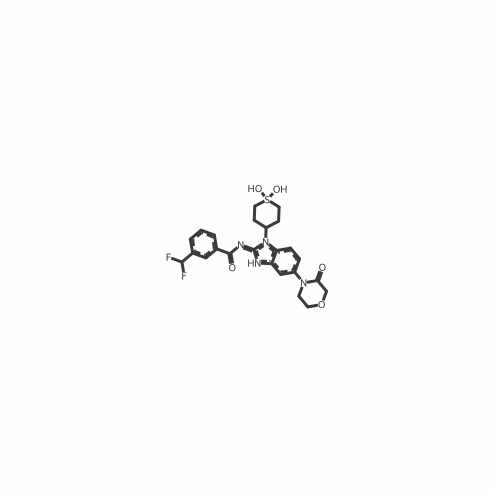 O=C(/N=c1\[nH]c2cc(N3CCOCC3=O)ccc2n1C1CCS(O)(O)CC1)c1cccc(C(F)F)c1